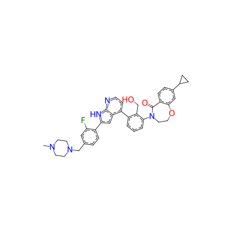 CN1CCN(Cc2ccc(-c3cc4c(-c5cccc(N6CCOc7cc(C8CC8)ccc7C6=O)c5CO)ccnc4[nH]3)c(F)c2)CC1